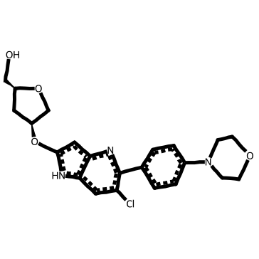 OC[C@@H]1C[C@H](Oc2cc3nc(-c4ccc(N5CCOCC5)cc4)c(Cl)cc3[nH]2)CO1